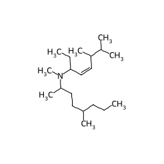 CCCC(C)CCC(C)N(C)C(/C=C\C(C)C(C)C)CC